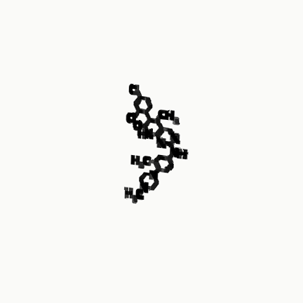 Cc1cc(Nc2ncc3c(C)c(-c4ccc(Cl)cc4Cl)c(=O)[nH]c3n2)ccc1N1CCN(C)CC1